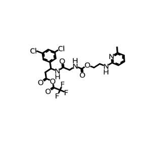 Cc1cccc(NCCOC(=O)NCC(=O)NC(CC(=O)OC(=O)C(F)(F)F)c2cc(Cl)cc(Cl)c2)n1